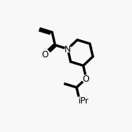 C=CC(=O)N1CCCC(OC(C)C(C)C)C1